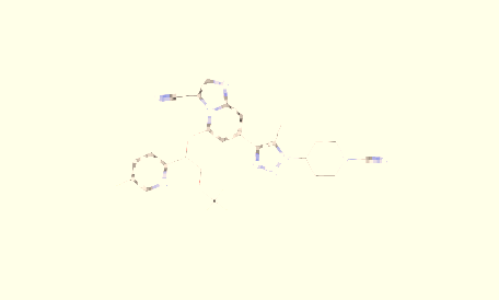 Cc1c(-c2cc(OC(COC(F)(F)F)c3ccc(F)cn3)n3c(C#N)cnc3c2)nnn1C1CCN(C#N)CC1